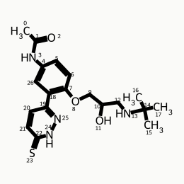 CC(=O)Nc1ccc(OCC(O)CNC(C)(C)C)c(-c2ccc(=S)[nH]n2)c1